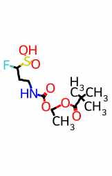 CC(OC(=O)NCCC(F)S(=O)O)OC(=O)C(C)(C)C